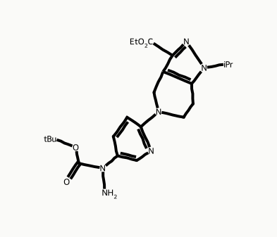 CCOC(=O)c1nn(C(C)C)c2c1CN(c1ccc(N(N)C(=O)OC(C)(C)C)cn1)CC2